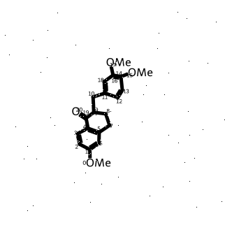 COc1ccc2c(c1)CCC(Cc1ccc(OC)c(OC)c1)C2=O